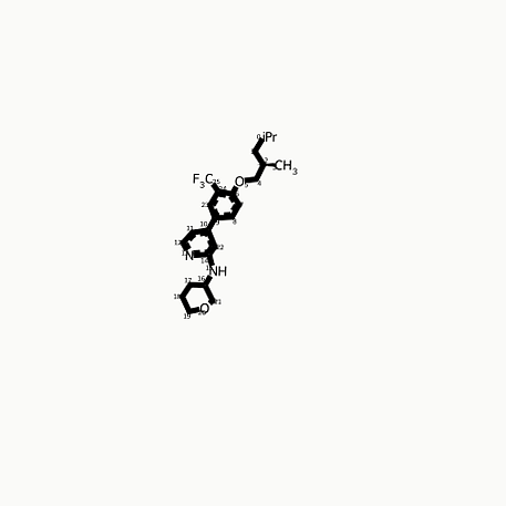 CC(C)C[C@@H](C)COc1ccc(-c2ccnc(NC3CCCOC3)c2)cc1C(F)(F)F